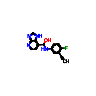 C#Cc1cc(NC(O)c2ccnc3nc[nH]c23)ccc1F